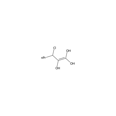 CCCC(Cl)C(O)=C(O)O